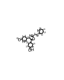 COc1ccc(-c2nc(CSc3ccccn3)oc2-c2ccc(O)cc2)cn1